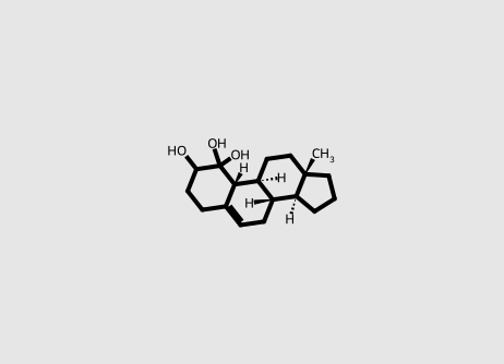 C[C@@]12CCC[C@H]1[C@@H]1CC=C3CCC(O)C(O)(O)[C@@H]3[C@H]1CC2